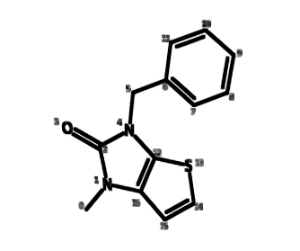 Cn1c(=O)n(Cc2ccccc2)c2sccc21